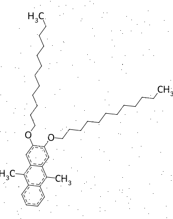 CCCCCCCCCCCCOc1cc2c(C)c3ccccc3c(C)c2cc1OCCCCCCCCCCCC